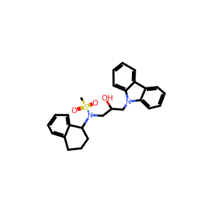 CS(=O)(=O)N(CC(O)Cn1c2ccccc2c2ccccc21)C1CCCc2ccccc21